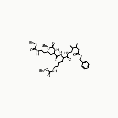 CC(CNC(=O)C(CCCCNC(=O)OC(C)(C)C)NC(=O)C(CCCCNC(=O)OC(C)(C)C)NC(=O)OC(C)(C)C)C(C)CC(=O)OCc1ccccc1